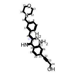 N=C(/C(N)=C/c1cccc(CN2CCOCC2)c1)c1ccc(C#CCO)cc1N